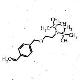 C=Cc1ccc(COCCN([Si](C)(C)C)[Si](C)(C)C)cc1